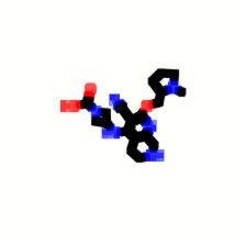 CN1CCCC1COc1nc2c(c(NC3CN(C(=O)O)C3)c1C#N)CCNC2